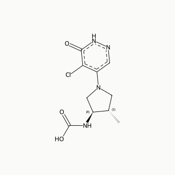 C[C@H]1CN(c2cn[nH]c(=O)c2Cl)C[C@@H]1NC(=O)O